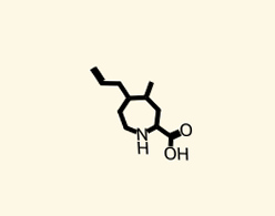 C=CCC1CCNC(C(=O)O)CC1C